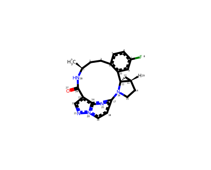 C[C@H]1CCc2ccc(F)cc2[C@@]23C[C@@H]2CCN3c2ccn3ncc(c3n2)C(=O)N1